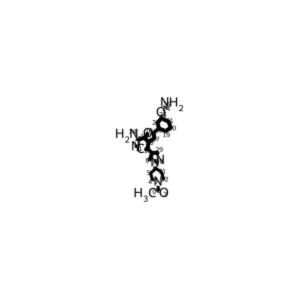 CC(=O)N1CCC(n2cc(-c3cnc(N)c4oc(-c5cccc(OCN)c5)cc34)cn2)CC1